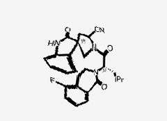 CC(C)C[C@@H](C(=O)N1C[C@]2(CC1C#N)C(=O)Nc1ccccc12)N1CCc2c(F)cccc2C1=O